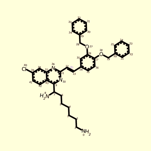 NCCCCCCC(N)c1nc(/C=C/c2ccc(OCc3ccccc3)c(OCc3ccccc3)c2)nc2cc(Cl)ccc12